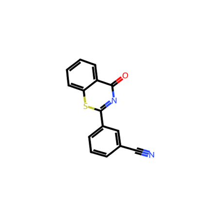 N#Cc1cccc(-c2nc(=O)c3ccccc3s2)c1